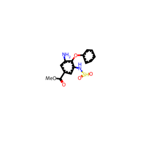 COC(=O)c1cc(N)c(Oc2ccccc2)c(N[SH](=O)=O)c1